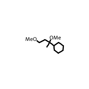 COCCC(C)(OC)C1CCCCC1